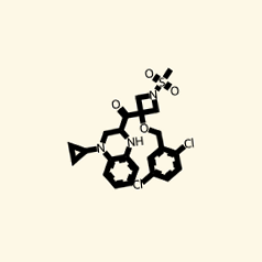 CS(=O)(=O)N1CC(OCc2cc(Cl)ccc2Cl)(C(=O)C2CN(C3CC3)c3ccccc3N2)C1